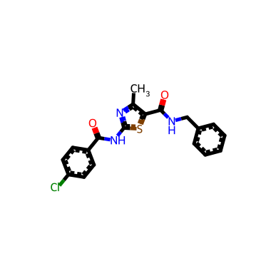 Cc1nc(NC(=O)c2ccc(Cl)cc2)sc1C(=O)NCc1ccccc1